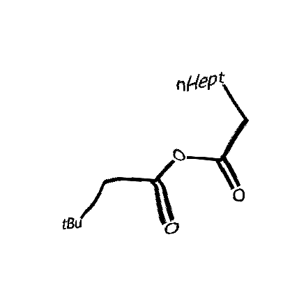 CCCCCCCCC(=O)OC(=O)CC(C)(C)C